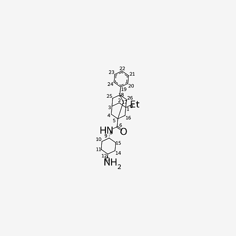 CCC12CC3CC(C(=O)N[C@H]4CC[C@H](N)CC4)(C1)CC(c1ccccc1)(C3)C2